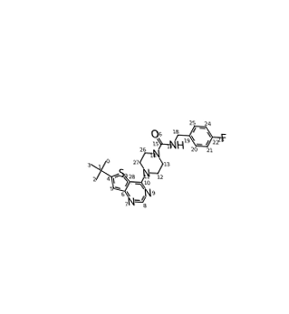 CC(C)(C)c1cc2ncnc(N3CCN(C(=O)NCc4ccc(F)cc4)CC3)c2s1